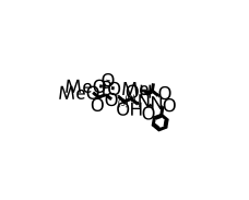 COC(=O)C(OC[C@H](O)[C@H](O)Cn1cc(C)c(=O)n(C(=O)c2ccccc2)c1=O)P(=O)(OC)OC